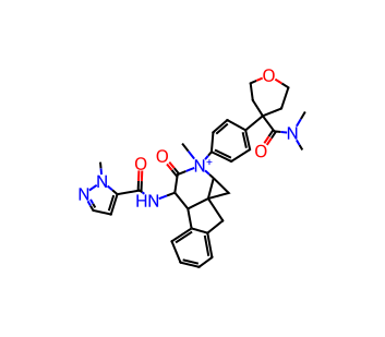 CN(C)C(=O)C1(c2ccc([N+]3(C)C(=O)C(NC(=O)c4ccnn4C)C4c5ccccc5CC45CC53)cc2)CCOCC1